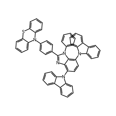 c1ccc(-n2c(-c3ccc(N4c5ccccc5Sc5ccccc54)cc3)nc3c(-n4c5ccccc5c5ccccc54)ccc(-n4c5ccccc5c5ccccc54)c32)cc1